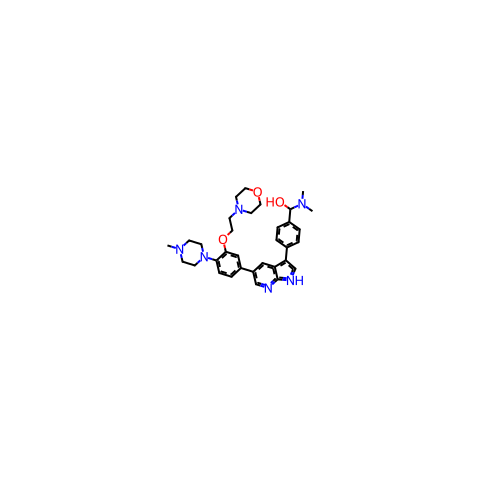 CN1CCN(c2ccc(-c3cnc4[nH]cc(-c5ccc(C(O)N(C)C)cc5)c4c3)cc2OCCN2CCOCC2)CC1